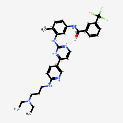 CCN(CC)CCCNc1ccc(-c2ccnc(Nc3cc(NC(=O)c4cccc(C(F)(F)F)c4)ccc3C)n2)cn1